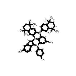 CC(C)(C)c1ccc(N2c3cc(C(F)(F)F)cc4c3B(c3cc5c(cc3N4c3ccc4c(c3)C(C)(C)CCC4(C)C)C(C)(C)CCC5(C)C)c3sc4cc(C(C)(C)C)ccc4c32)cc1